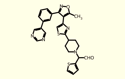 Cc1onc(-c2cccc(-c3cncnc3)c2)c1-c1csc(C2CCN(C(C=O)c3cccs3)CC2)n1